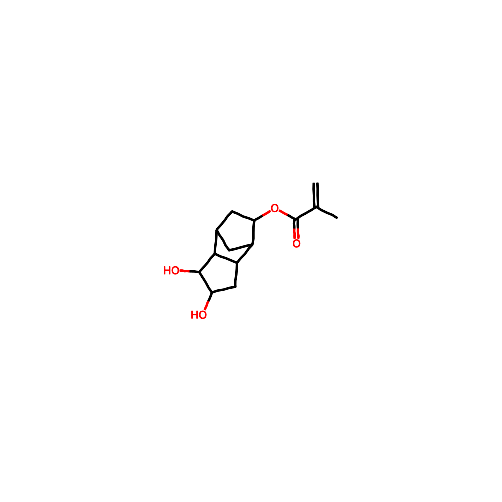 C=C(C)C(=O)OC1CC2CC1C1CC(O)C(O)C21